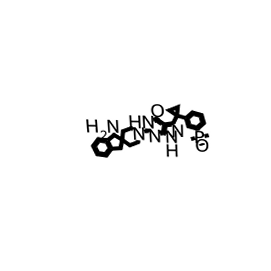 CP(C)(=O)c1cccc(C2(c3n[nH]c4nc(N5CCC6(CC5)Cc5ccccc5[C@H]6N)[nH]c(=O)c34)CC2)c1